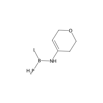 PB(I)NC1=CCOCC1